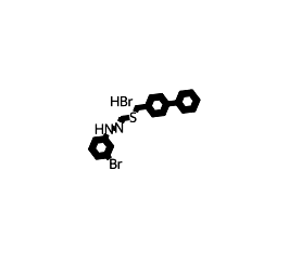 Br.Brc1cccc(NN=CSCc2ccc(-c3ccccc3)cc2)c1